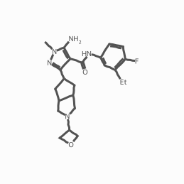 CCc1cc(NC(=O)c2c(C3CC4CN(C5COC5)CC4C3)nn(C)c2N)ccc1F